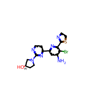 Nc1cc(-c2ccnc(N3CC[C@@H](O)C3)n2)nc(-c2nccs2)c1Br